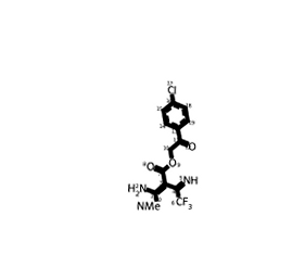 CN/C(N)=C(\C(=N)C(F)(F)F)C(=O)OCC(=O)c1ccc(Cl)cc1